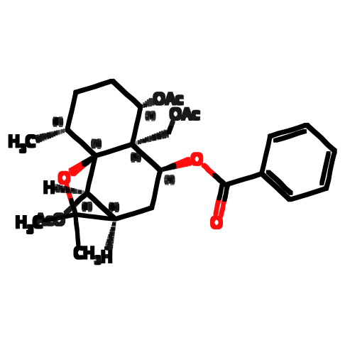 CC(=O)OC[C@@]12[C@@H](OC(C)=O)CC[C@@H](C)[C@]13OC(C)(C)[C@H](C[C@@H]2OC(=O)c1ccccc1)[C@H]3OC(C)=O